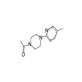 [CH2]c1ccc(N2CCN(C(C)=O)CC2)nc1